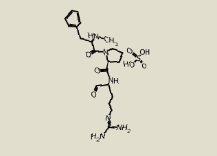 CNC(Cc1ccccc1)C(=O)N1CCC[C@H]1C(=O)NC(C=O)CCCN=C(N)N.O=S(=O)(O)O